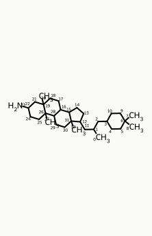 CC(CC1CCC(C)(C)CC1)CC1CCC2C3CCC4(C)CC(N)CCC4(C)C3CCC12C